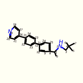 CC(NCC(C)(C)C)c1ccc(-c2ccc(-c3ccncc3)cc2)cc1